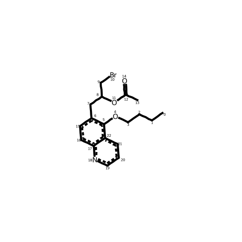 CCCCOc1c(CC(CBr)OC(C)=O)ccc2ncccc12